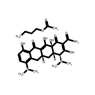 CCCCOC(C)=O.CN(C)c1ccc(O)c2c1C[C@H]1C[C@H]3[C@H](N(C)C)C(O)=C(C(N)=O)C(=O)[C@@]3(O)C(O)=C1C2=O